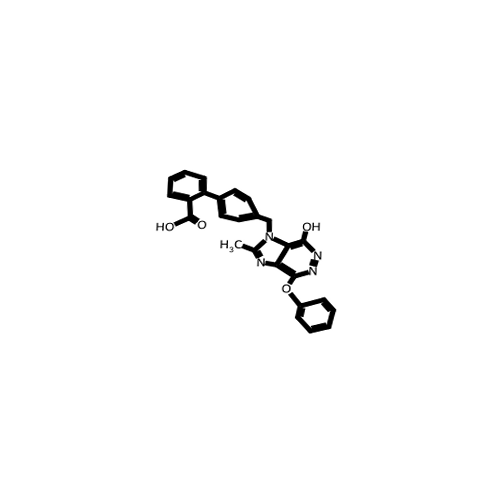 Cc1nc2c(Oc3ccccc3)nnc(O)c2n1Cc1ccc(-c2ccccc2C(=O)O)cc1